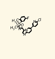 Cc1ccc(F)cc1S(=O)(=O)N(C)/N=C/c1cnc2ccc(-c3ccc(Cl)nc3)cn12